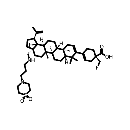 C=C(C)[C@@H]1CC[C@]2(CNCCCN3CCS(=O)(=O)CC3)CC[C@]3(C)[C@H](CC[C@@H]4[C@@]5(C)CC=C(C6=CC[C@@](CF)(C(=O)O)CC6)C(C)(C)[C@@H]5CC[C@]43C)[C@@H]12